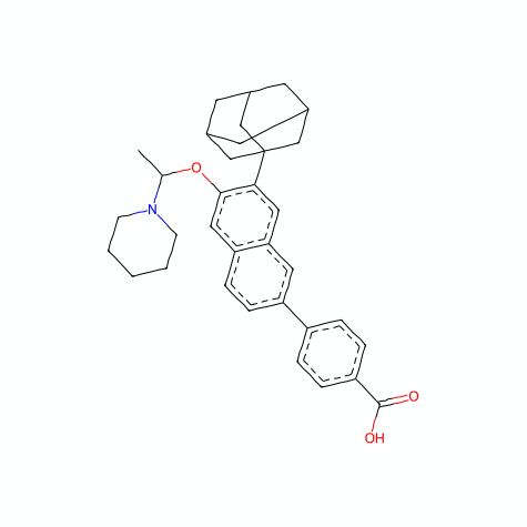 CC(Oc1cc2ccc(-c3ccc(C(=O)O)cc3)cc2cc1C12CC3CC(CC(C3)C1)C2)N1CCCCC1